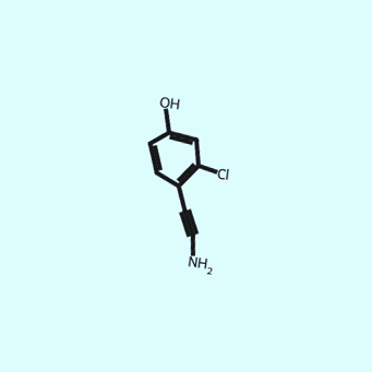 NC#Cc1ccc(O)cc1Cl